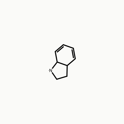 C1=CC2CC[N]C2C=C1